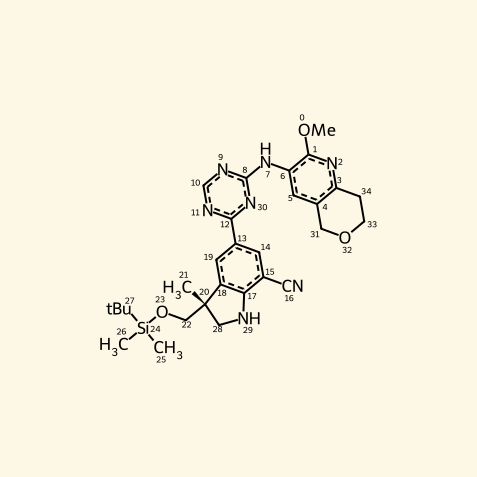 COc1nc2c(cc1Nc1ncnc(-c3cc(C#N)c4c(c3)[C@@](C)(CO[Si](C)(C)C(C)(C)C)CN4)n1)COCC2